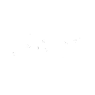 CN1CCN(c2ccc(Nc3ncc(F)c(NC4CCCC4C(N)=O)n3)cc2CF)CC1